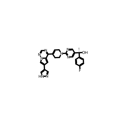 C[C@](O)(c1ccc(F)cc1)c1cnc(N2CC=C(c3ncnn4cc(-c5cn[nH]c5)cc34)CC2)nc1